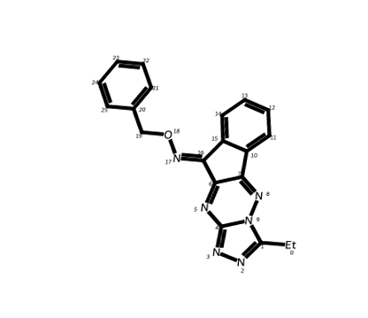 CCc1nnc2nc3c(nn12)-c1ccccc1C3=NOCc1ccccc1